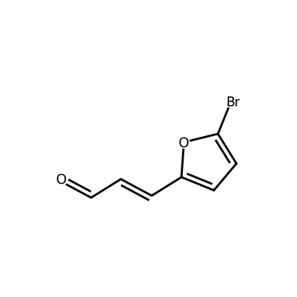 O=C/C=C/c1ccc(Br)o1